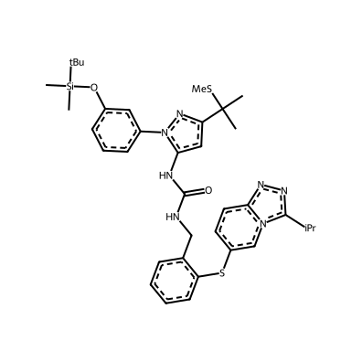 CSC(C)(C)c1cc(NC(=O)NCc2ccccc2Sc2ccc3nnc(C(C)C)n3c2)n(-c2cccc(O[Si](C)(C)C(C)(C)C)c2)n1